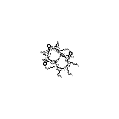 NCCCC[C@@H]1NC(=O)C2NC(=O)[C@H](Cc3c[nH]c4ccccc34)NC(=O)[C@H](CCCCN)NC(=O)[C@H](CCCCN)NC(=O)[C@H](CCCCN)NC(=O)[C@H](CCCCN)NC(=O)[C@H](CSS2)NC(=O)[C@H](Cc2c[nH]c3ccccc23)NC(=O)[C@H](Cc2c[nH]cn2)NC(=O)[C@@H](Cc2ccccc2)NC(=O)[C@H](Cc2c[nH]cn2)NC1=O